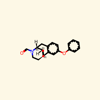 O=CN1CC[C@]23CCCC[C@H]2[C@H]1Cc1ccc(Oc2ccccc2)cc13